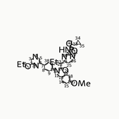 CCOc1cncc(-c2ccc(N(Cc3ccc(OC)cc3)C(=O)C(CC)c3ccnc(NS(=O)(=O)C4CC4)n3)cc2)n1